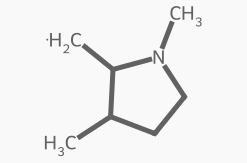 [CH2]C1C(C)CCN1C